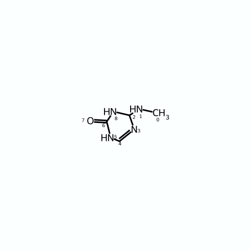 CNC1N=CNC(=O)N1